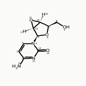 Nc1ccn([C@@H]2O[C@H](CO)[C@@H]3O[C@@H]32)c(=O)n1